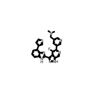 CN(C)Cc1cncc(-c2ncc3[nH]nc(-c4nc5c(-c6ccsc6)cccc5[nH]4)c3c2F)c1